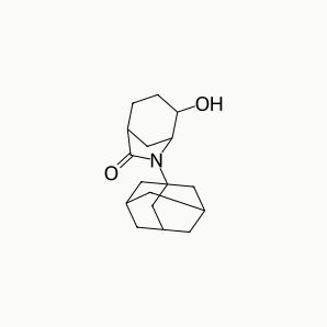 O=C1C2CCC(O)C(C2)N1C12CC3CC(CC(C3)C1)C2